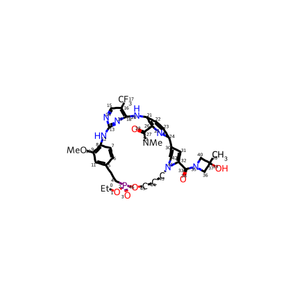 CCOP1(=O)Cc2ccc(c(OC)c2)Nc2ncc(C(F)(F)F)c(n2)Nc2ccc(nc2C(=O)NC)-c2cc(C(=O)N3CC(C)(O)C3)n(c2)CCCO1